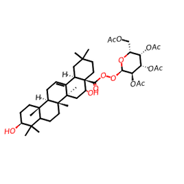 CC(=O)OC[C@H]1O[C@H](OOC(=O)[C@]23CCC(C)(C)C[C@@H]2C2=CC[C@@H]4[C@@]5(C)CC[C@H](O)C(C)(C)C5CC[C@@]4(C)[C@]2(C)C[C@H]3O)[C@H](OC(C)=O)[C@@H](OC(C)=O)[C@H]1OC(C)=O